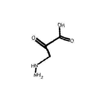 NNCC(=O)C(=O)O